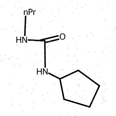 CCCNC(=O)NC1CCCC1